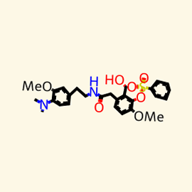 COc1cc(CCNC(=O)Cc2ccc(OC)c(OS(=O)(=O)c3ccccc3)c2CO)ccc1N(C)C